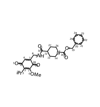 COC1=C(C(C)C)C(=O)C=C(CNC(=O)C2CCN(C(=O)OCc3ccccc3)CC2)C1=O